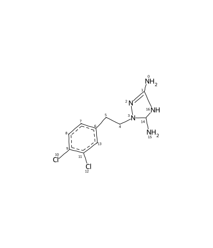 NC1=NN(CCc2ccc(Cl)c(Cl)c2)C(N)N1